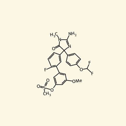 COc1cc(OS(C)(=O)=O)cc(-c2cc(C3(c4ccc(OC(F)F)cc4)N=C(N)N(C)C3=O)ccc2F)c1